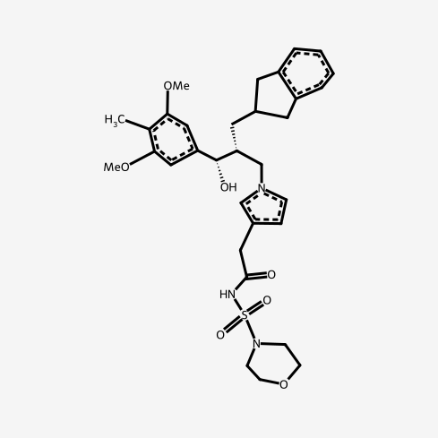 COc1cc([C@@H](O)[C@H](CC2Cc3ccccc3C2)Cn2ccc(CC(=O)NS(=O)(=O)N3CCOCC3)c2)cc(OC)c1C